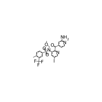 COCN(c1cc(I)cnc1C(=O)c1ccnc(N)c1)S(=O)(=O)c1ccc(C)c(C(F)(F)F)c1